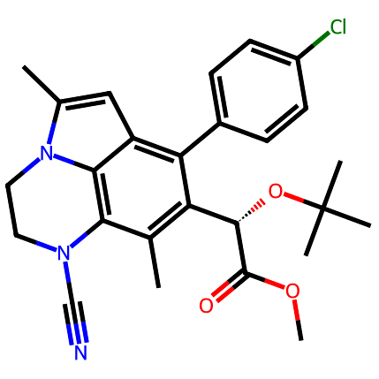 COC(=O)[C@@H](OC(C)(C)C)c1c(C)c2c3c(cc(C)n3CCN2C#N)c1-c1ccc(Cl)cc1